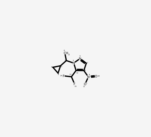 CC(C1CC1)n1ncc([N+](=O)[O-])c1C(F)F